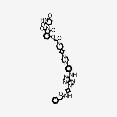 O=C1CC[C@H](N2C(=O)c3cccc(OCC(=O)N4CCC5(CC4)CC(N4CCN(c6ccc(Nc7ncnc8c7ncn8C7CC(NC(=O)Cc8ccccc8)C7)cc6)CC4)C5)c3C2=O)C(=O)N1